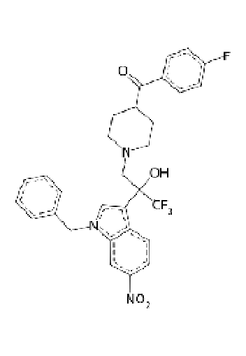 O=C(c1ccc(F)cc1)C1CCN(CC(O)(c2cn(Cc3ccccc3)c3cc([N+](=O)[O-])ccc23)C(F)(F)F)CC1